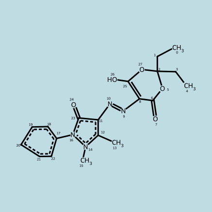 CCC1(CC)OC(=O)C(N=Nc2c(C)n(C)n(-c3ccccc3)c2=O)=C(O)O1